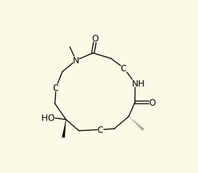 C[C@@H]1CCC[C@](C)(O)CCCN(C)C(=O)CCNC1=O